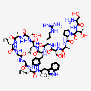 CC(C)C[C@H](NC(=O)CNC(=O)CNC(=O)[C@H](CC(C)C)NC(=O)[C@H](C)NC(=O)[C@H](CO)NC(=O)[C@H](CC(C)C)NC(=O)[C@H](Cc1ccccc1)NC(=O)[C@H](CCCNC(=N)N)NC(=O)[C@H](CO)NC(=O)[C@H](C)NC(=O)[C@@H]1CCCN1C(=O)[C@@H](NC(=O)[C@@H](N)CO)[C@@H](C)O)C(=O)N[C@@H](Cc1c[nH]c2ccccc12)C(=O)O